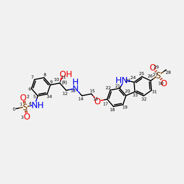 CS(=O)(=O)Nc1cccc([C@@H](O)CNCCOc2ccc3c(c2)[nH]c2cc(S(C)(=O)=O)ccc23)c1